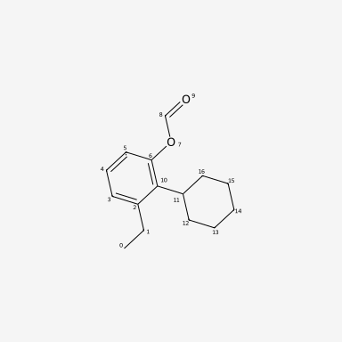 CCc1cc[c]c(OC=O)c1C1CCCCC1